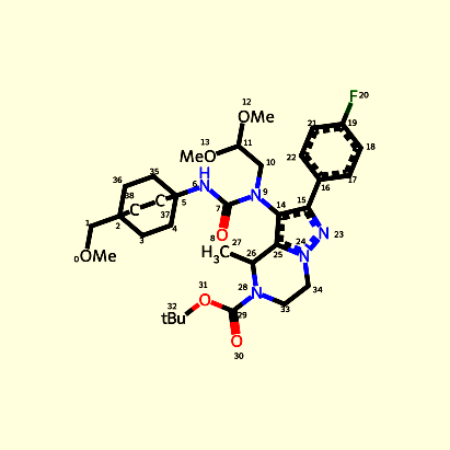 COCC12CCC(NC(=O)N(CC(OC)OC)c3c(-c4ccc(F)cc4)nn4c3C(C)N(C(=O)OC(C)(C)C)CC4)(CC1)CC2